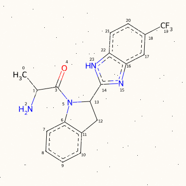 CC(N)C(=O)N1c2ccccc2CC1c1nc2cc(C(F)(F)F)ccc2[nH]1